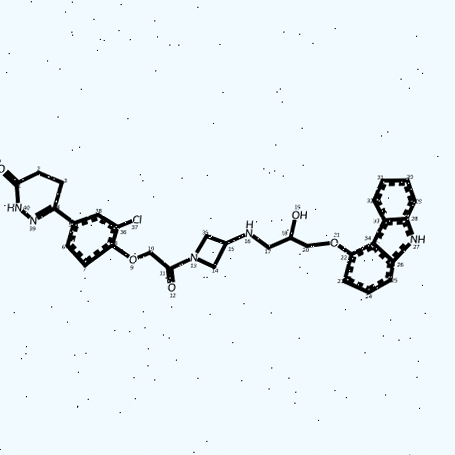 O=C1CCC(c2ccc(OCC(=O)N3CC(NCC(O)COc4cccc5[nH]c6ccccc6c45)C3)c(Cl)c2)=NN1